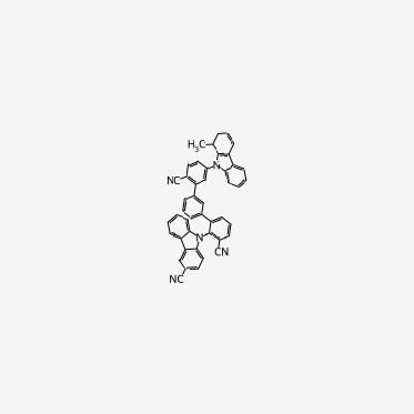 CC1CC=Cc2c1n(-c1ccc(C#N)c(-c3cccc(-c4cccc(C#N)c4-n4c5ccccc5c5cc(C#N)ccc54)c3)c1)c1ccccc21